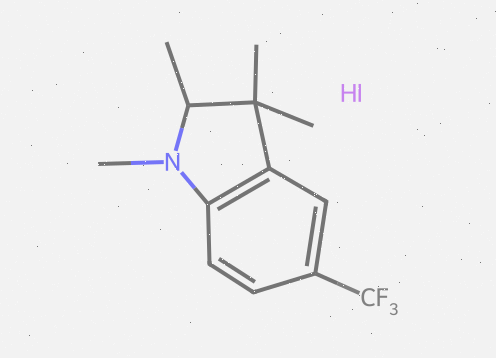 CC1N(C)c2ccc(C(F)(F)F)cc2C1(C)C.I